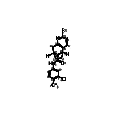 O=C(Nc1ccc(C(F)(F)F)c(Cl)c1)N1[C@@H]2CC[C@H]1c1cnc(F)nc1C2